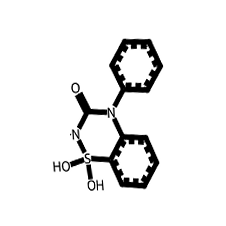 O=C1[N]S(O)(O)c2ccccc2N1c1ccccc1